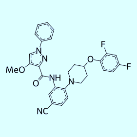 COc1cn(-c2ccccc2)nc1C(=O)Nc1cc(C#N)ccc1N1CCC(Oc2ccc(F)cc2F)CC1